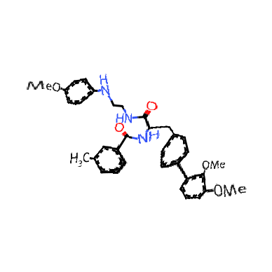 COc1ccc(NCCNC(=O)C(Cc2ccc(-c3cccc(OC)c3OC)cc2)NC(=O)c2cccc(C)c2)cc1